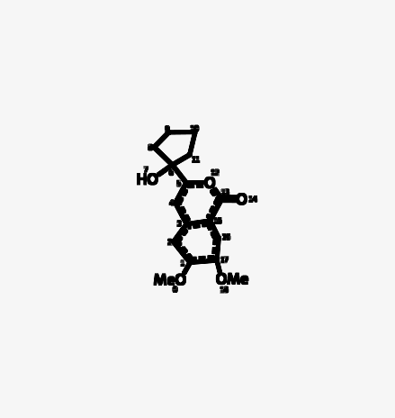 COc1cc2cc(C3(O)CCCC3)oc(=O)c2cc1OC